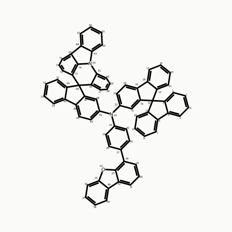 c1ccc2c(c1)-c1ccccc1C21c2ccccc2-c2ccc(N(c3ccc(-c4cccc5c4oc4ccccc45)cc3)c3ccc4c(c3)C3(c5ccccc5-4)c4ccccc4-n4c5ccccc5c5cccc3c54)cc21